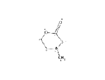 CN1CCOC(=O)S1